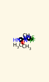 CC(C)OC1=CNCC=C1c1nc2cc(C(F)(F)F)cnc2n1C